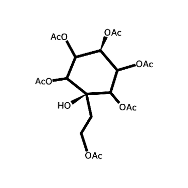 CC(=O)OCC[C@]1(O)C(OC(C)=O)C(OC(C)=O)[C@@H](OC(C)=O)C(OC(C)=O)C1OC(C)=O